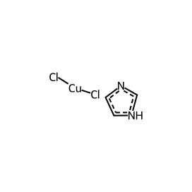 [Cl][Cu][Cl].c1c[nH]cn1